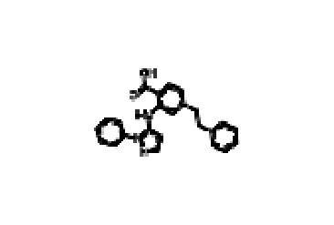 O=C(O)c1ccc(CCc2ccccc2)cc1Nc1ccnn1-c1ccccc1